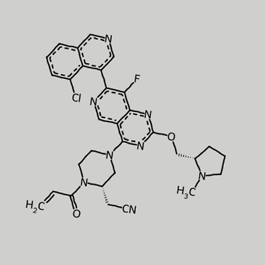 C=CC(=O)N1CCN(c2nc(OC[C@@H]3CCCN3C)nc3c(F)c(-c4cncc5cccc(Cl)c45)ncc23)C[C@@H]1CC#N